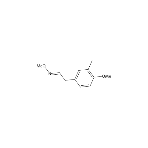 [CH]Oc1ccc(CC=NOC)cc1C